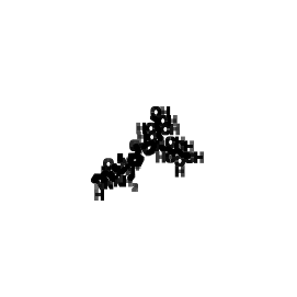 CCn1c(CN(C=O)c2nc3cc[nH]c3nc2N)[n+](CC)c2ccc(C(=O)N3CCC(N(C[C@H](O)[C@@H](O)[C@H](O)[C@H](O)CO)C[C@H](O)[C@@H](O)[C@H](O)[C@H](O)CO)CC3)cc21